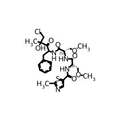 COC[C@H](NC(=O)c1cnc(C)s1)C(=O)N[C@@H](COC)C(=O)NC(Cc1ccccc1)C(=O)C(C)(O)CCl